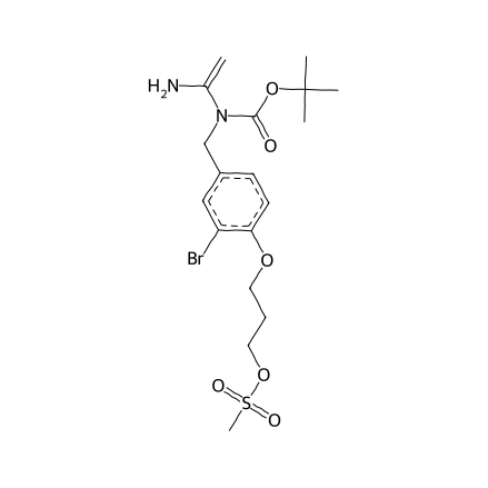 C=C(N)N(Cc1ccc(OCCCOS(C)(=O)=O)c(Br)c1)C(=O)OC(C)(C)C